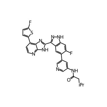 CC(C)CC(=O)Nc1cncc(-c2cc3c(-c4nc5c(-c6ccc(F)s6)ccnc5[nH]4)n[nH]c3cc2F)c1